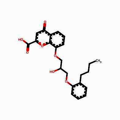 CCCCc1ccccc1OCC(O)COc1cccc2c(=O)cc(C(=O)O)oc12